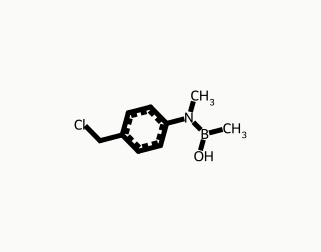 CB(O)N(C)c1ccc(CCl)cc1